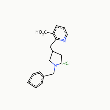 Cl.O=C(O)c1cccnc1CC1CCN(Cc2ccccc2)C1